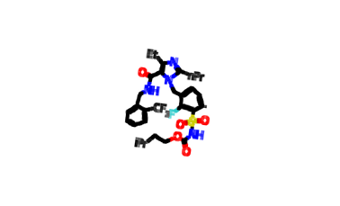 CCCc1nc(CC)c(C(=O)NCc2ccccc2C(F)(F)F)n1Cc1cc[c]c(S(=O)(=O)NC(=O)OCCC(C)C)c1F